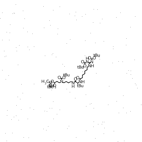 C[SiH](C)OC(CCN(CCCCNC(=O)C(NC(=O)CCCCCCNC(=NC(=O)OC(C)(C)C)NC(=O)OC(C)(C)C)C(C)(C)C)C(=O)OC(C)(C)C)OC(C)(C)C